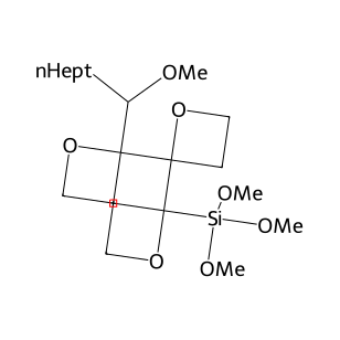 CCCCCCCC(OC)C1(C2(C3([Si](OC)(OC)OC)CCO3)CCO2)CCO1